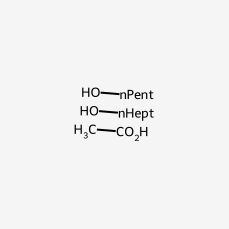 CC(=O)O.CCCCCCCO.CCCCCO